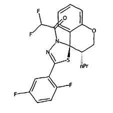 CCC[C@H]1COc2ccccc2[C@]12SC(c1cc(F)ccc1F)=NN2C(=O)C(F)F